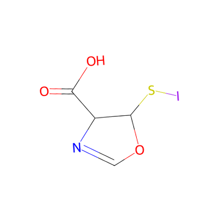 O=C(O)C1N=COC1SI